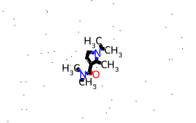 CC(C)N1CCC(C(=O)N(C)C)C1C